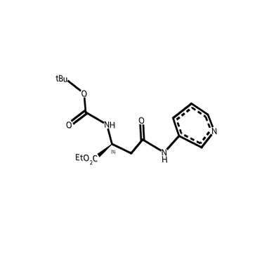 CCOC(=O)[C@H](CC(=O)Nc1cccnc1)NC(=O)OC(C)(C)C